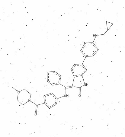 CN1CCN(C(=O)c2ccc(N/C(=C3\C(=O)Nc4cc(-c5cnc(NCC6CC6)nc5)ccc43)c3ccccc3)cc2)CC1